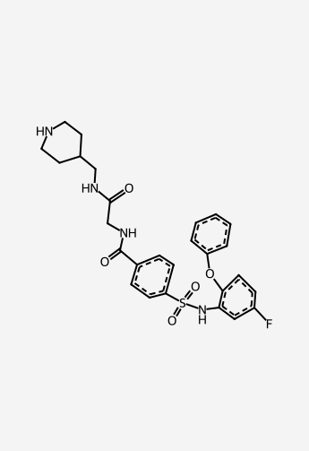 O=C(CNC(=O)c1ccc(S(=O)(=O)Nc2cc(F)ccc2Oc2ccccc2)cc1)NCC1CCNCC1